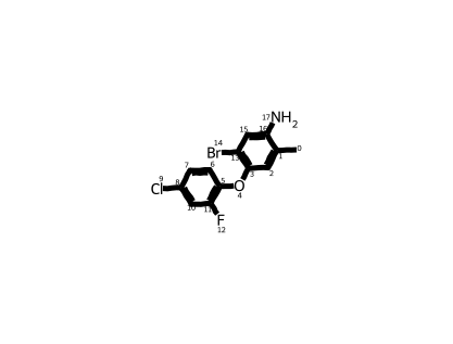 Cc1cc(Oc2ccc(Cl)cc2F)c(Br)cc1N